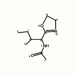 CCC(C)C(NC(C)=O)C1=NCCO1